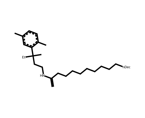 C=C(CCCCCCCCCCCCCCCCCCC)NCCC(C)(CC)c1cc(C)ccc1C